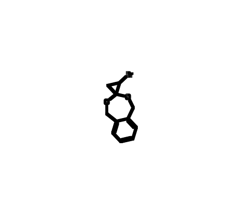 BrC1CC12OCc1ccccc1CO2